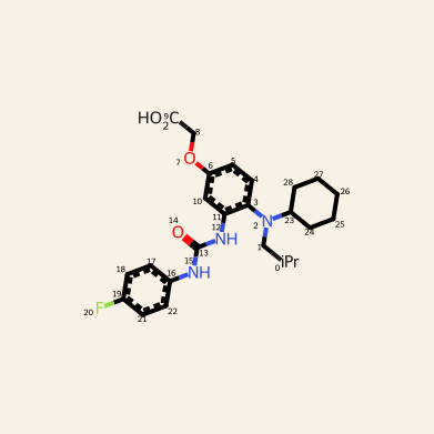 CC(C)CN(c1ccc(OCC(=O)O)cc1NC(=O)Nc1ccc(F)cc1)C1CCCCC1